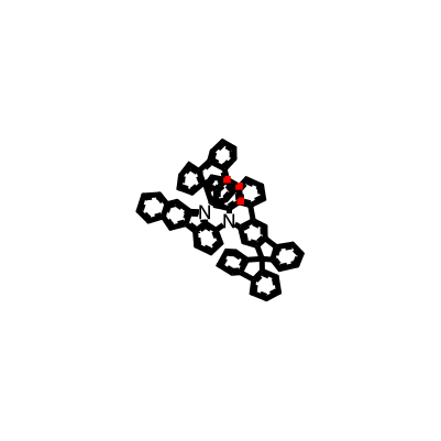 c1ccc(-c2cc3c(cc2N(c2ccc4c5ccccc5c5ccccc5c4c2)c2cccc4c5cc6ccccc6cc5n(-c5ccccc5)c24)C2(c4ccccc4-c4ccccc42)c2ccccc2-3)cc1